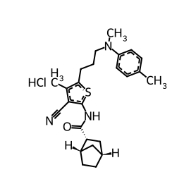 Cc1ccc(N(C)CCCc2sc(NC(=O)[C@@H]3C[C@@H]4CC[C@H]3C4)c(C#N)c2C)cc1.Cl